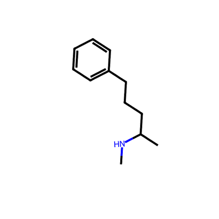 CNC(C)CCCc1ccccc1